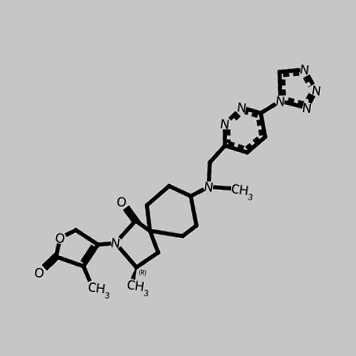 CC1=C(N2C(=O)C3(CCC(N(C)Cc4ccc(-n5cnnn5)nn4)CC3)C[C@H]2C)COC1=O